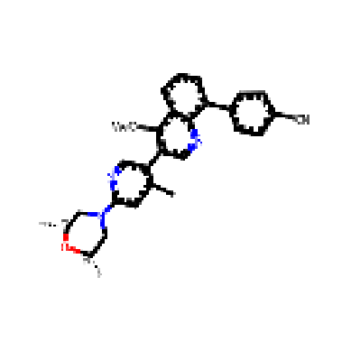 COc1c(-c2cnc(N3C[C@@H](C)O[C@@H](C)C3)cc2C)cnc2c(-c3ccc(C#N)cc3)cccc12